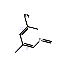 C=N/C=C(C)\C=C(/C)C(C)C